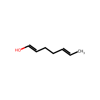 CC=CCCC=CO